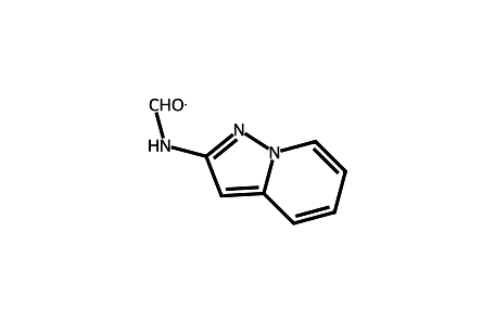 O=[C]Nc1cc2ccccn2n1